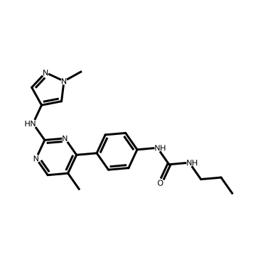 CCCNC(=O)Nc1ccc(-c2nc(Nc3cnn(C)c3)ncc2C)cc1